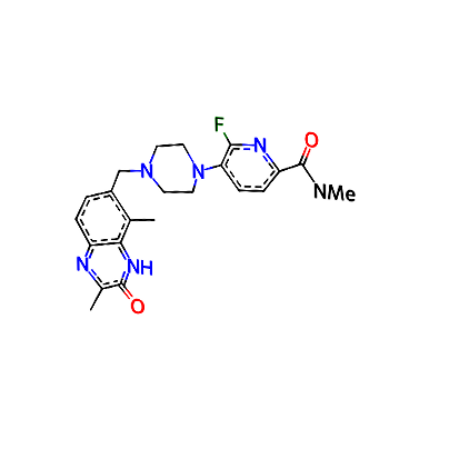 CNC(=O)c1ccc(N2CCN(Cc3ccc4nc(C)c(=O)[nH]c4c3C)CC2)c(F)n1